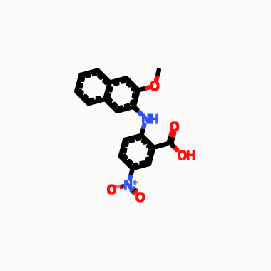 COc1cc2ccccc2cc1Nc1ccc([N+](=O)[O-])cc1C(=O)O